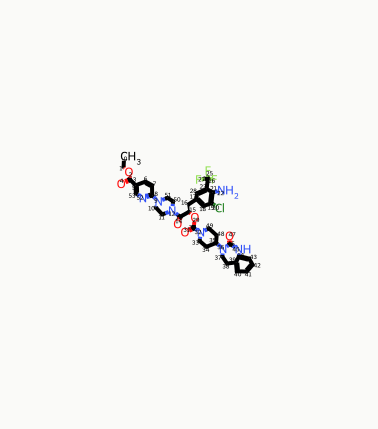 CCOC(=O)c1ccc(N2CCN(C(=O)[C@@H](Cc3cc(Cl)c(N)c(C(F)(F)F)c3)OC(=O)N3CCC(N4CCc5ccccc5NC4=O)CC3)CC2)nc1